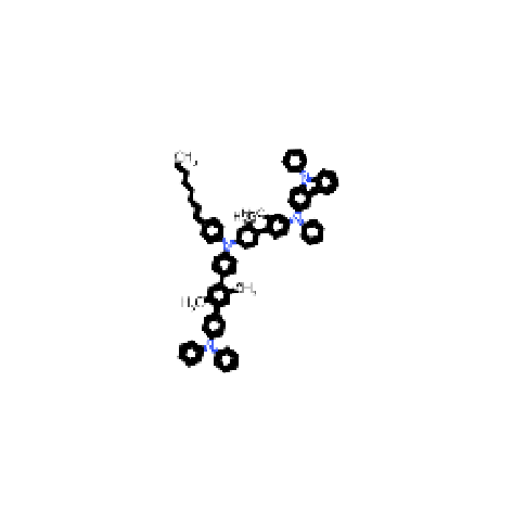 CCCCCCCCc1ccc(N(c2ccc(-c3cc(C)c(-c4ccc(N(c5ccccc5)c5ccccc5)cc4)cc3C)cc2)c2ccc(-c3ccc(N(c4ccccc4)c4ccc5c(c4)c4ccccc4n5-c4ccccc4)cc3C)c(C)c2)cc1